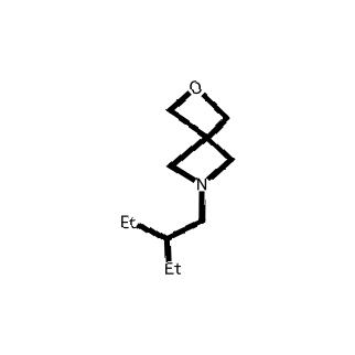 CCC(CC)CN1CC2(COC2)C1